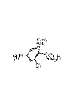 Nc1ccc(C(=O)O)c(O)c1.[AlH3].[CaH2]